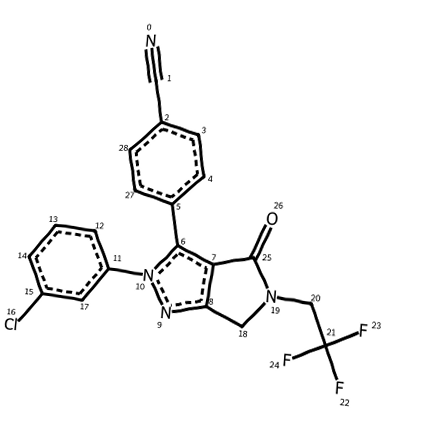 N#Cc1ccc(-c2c3c(nn2-c2cccc(Cl)c2)CN(CC(F)(F)F)C3=O)cc1